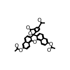 CC(=O)Oc1ccc2c3c(ccc2c1)C1(OC(=O)c2cc(C(C)=O)ccc21)c1ccc2cc(OC(C)=O)ccc2c1O3